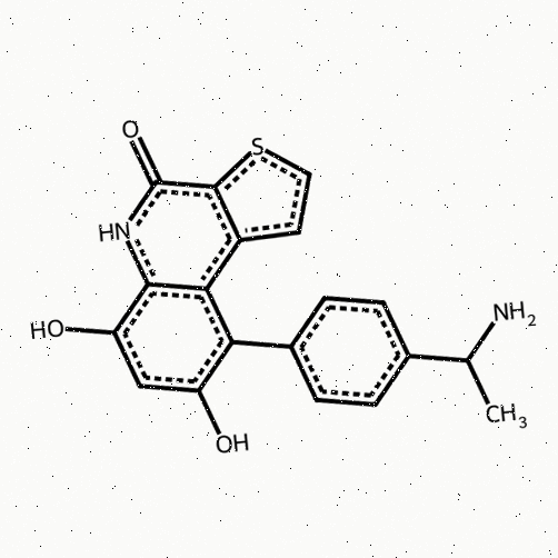 CC(N)c1ccc(-c2c(O)cc(O)c3[nH]c(=O)c4sccc4c23)cc1